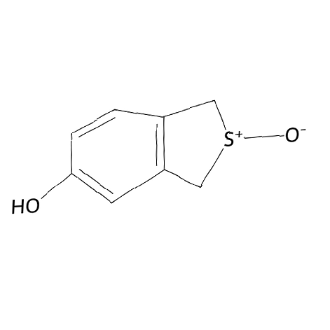 [O-][S+]1Cc2ccc(O)cc2C1